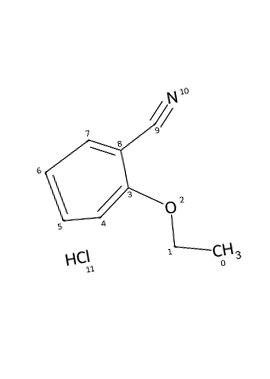 CCOc1ccccc1C#N.Cl